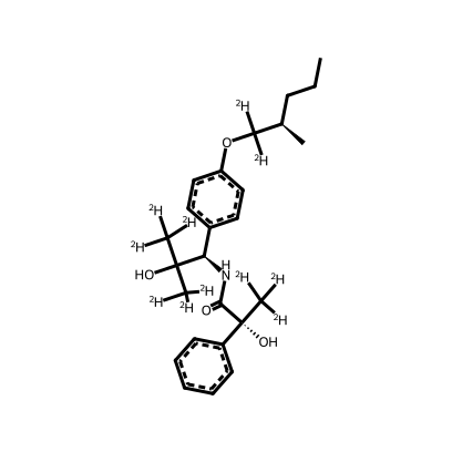 [2H]C([2H])(Oc1ccc([C@@H](NC(=O)[C@](O)(c2ccccc2)C([2H])([2H])[2H])C(O)(C([2H])([2H])[2H])C([2H])([2H])[2H])cc1)[C@H](C)CCC